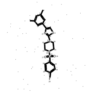 Cc1cc(C)cc(-c2csc(N3CCN(S(=O)(=O)c4ccc(F)cc4)CC3)n2)c1